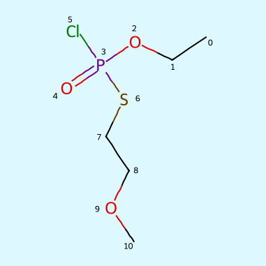 CCOP(=O)(Cl)SCCOC